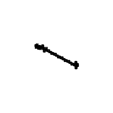 O=C(CCOCCOCCOCCOCCOCCOCCOCCOCCN1C(=O)C=CC1=O)NNC(=O)c1ccc2nonc2c1